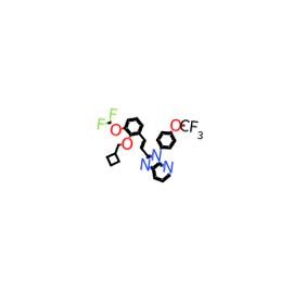 FC(F)Oc1cccc(C=Cc2nc3cccnc3n2-c2ccc(OC(F)(F)F)cc2)c1OCC1CCC1